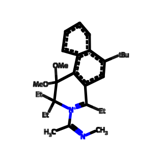 CCC1=[N+](/C(C)=N\C)C(CC)(CC)C(OC)(OC)c2c1cc(C(C)(C)C)c1ccccc21